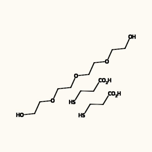 O=C(O)CCS.O=C(O)CCS.OCCOCCOCCOCCO